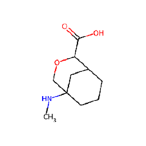 CNC12CCCC(C1)C(C(=O)O)OC2